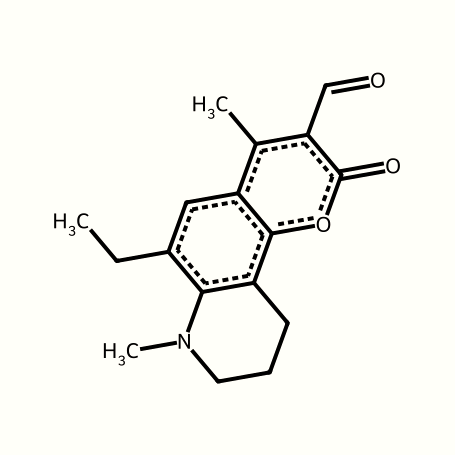 CCc1cc2c(C)c(C=O)c(=O)oc2c2c1N(C)CCC2